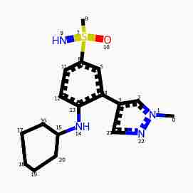 Cn1cc(-c2cc(S(C)(=N)=O)ccc2NC2CCCCC2)cn1